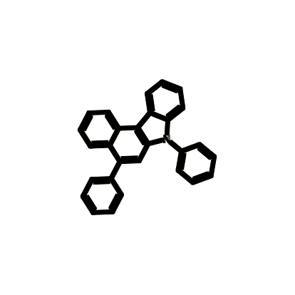 c1ccc(-c2cc3c(c4ccccc24)c2ccccc2n3-c2ccccc2)cc1